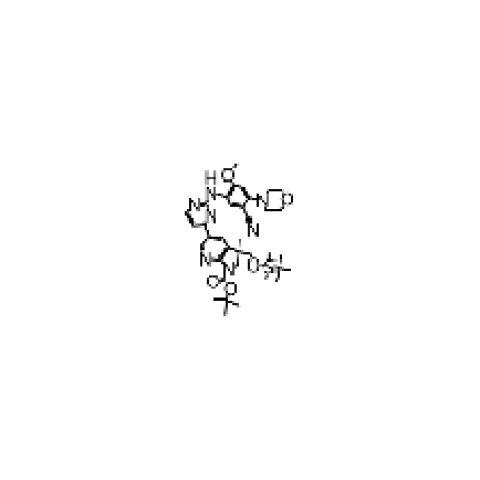 COc1cc(N2CCOCC2)c(C#N)cc1Nc1nccc(-c2cnc3c(c2)C(C)(CO[Si](C)(C)C(C)(C)C)CN3C(=O)OC(C)(C)C)n1